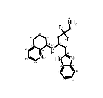 NCC(F)(F)CC(Cc1nc2ccccc2[nH]1)NC1CCCc2cccnc21